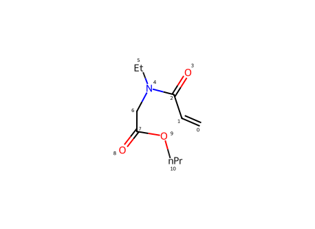 C=CC(=O)N(CC)CC(=O)OCCC